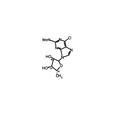 CNc1nc(Cl)c2ncn(C3O[C@H](C)[C@@H](O)[C@H]3O)c2n1